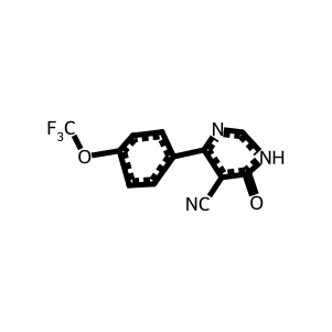 N#Cc1c(-c2ccc(OC(F)(F)F)cc2)nc[nH]c1=O